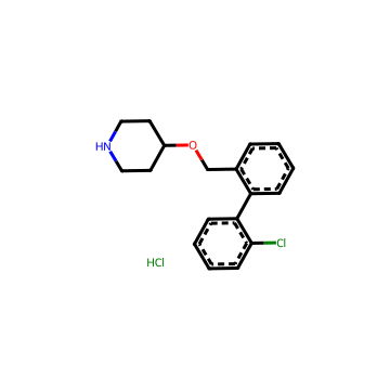 Cl.Clc1ccccc1-c1ccccc1COC1CCNCC1